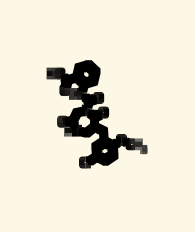 COc1ccc(Cl)cc1CC1CNC(=O)CN(C(=O)Nc2ccccc2C(=O)O)C1=O